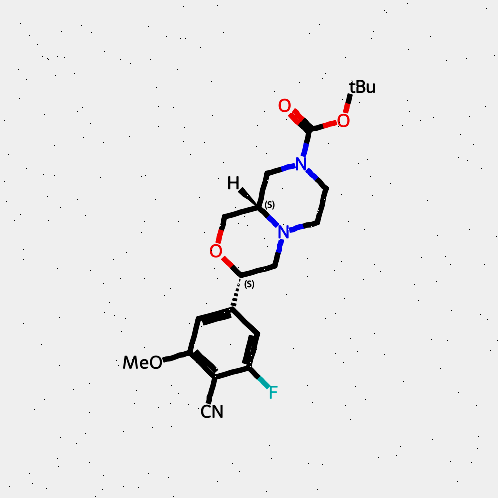 COc1cc([C@H]2CN3CCN(C(=O)OC(C)(C)C)C[C@H]3CO2)cc(F)c1C#N